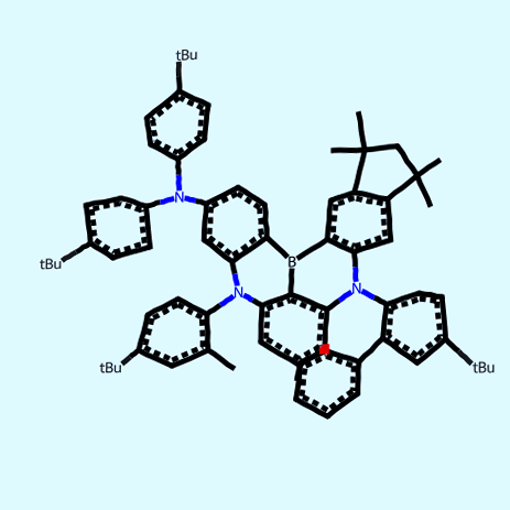 Cc1cc2c3c(c1)N(c1ccc(C(C)(C)C)cc1-c1ccccc1)c1cc4c(cc1B3c1ccc(N(c3ccc(C(C)(C)C)cc3)c3ccc(C(C)(C)C)cc3)cc1N2c1ccc(C(C)(C)C)cc1C)C(C)(C)CC4(C)C